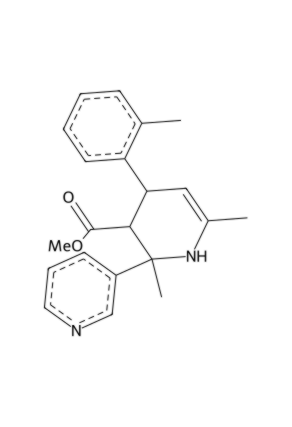 COC(=O)C1C(c2ccccc2C)C=C(C)NC1(C)c1cccnc1